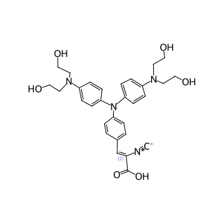 [C-]#[N+]/C(=C\c1ccc(N(c2ccc(N(CCO)CCO)cc2)c2ccc(N(CCO)CCO)cc2)cc1)C(=O)O